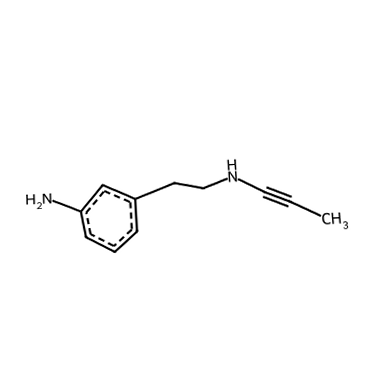 CC#CNCCc1cccc(N)c1